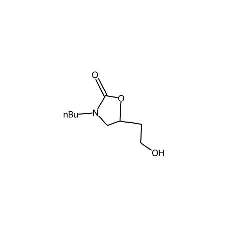 CCCCN1CC(CCO)OC1=O